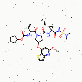 C=C[C@@H]1C[C@]1(NC(=O)[C@@H]1C[C@@H](Oc2cc(OCC)nc3ccsc23)CN1C(=O)[C@@H](NC(=O)OC1CCCC1)C(=C)C)C(=O)NS(=O)(=O)N(C)C